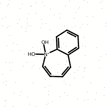 O[N+]1(O)C=CC=Cc2ccccc21